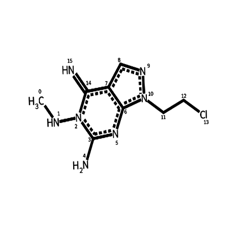 CNn1c(N)nc2c(cnn2CCCl)c1=N